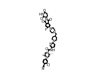 C[C@@H]1CN(c2ccc(C#N)c(Cl)c2)[C@@H](C)CN1C(=O)Nc1ccc(N2CCC(CN3CCN(c4cc5c(cc4F)C(=O)N([C@H]4CCC(=O)NC4=O)C5=O)CC3)CC2)nc1